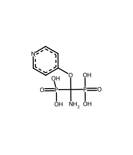 NC(Oc1ccncc1)(P(=O)(O)O)P(=O)(O)O